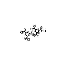 O=C(Cl)c1cc(C(=O)Cl)cc(C(=O)Cl)c1.O=C(O)c1cc(C(=O)Cl)cc(C(=O)Cl)c1